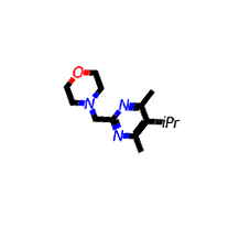 Cc1nc(CN2CCOCC2)nc(C)c1C(C)C